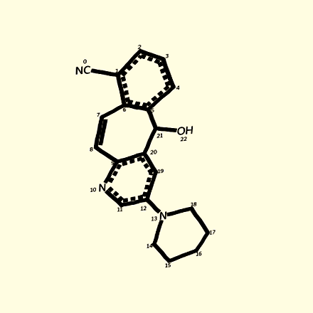 N#Cc1cccc2c1C=Cc1ncc(N3CCCCC3)cc1C2O